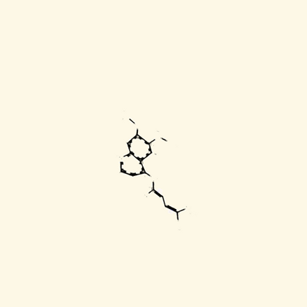 COc1cc2nccc(O/C(N)=C/C=C(\N)Cl)c2cc1OC